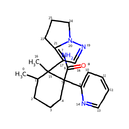 CC1CCCC(C(N)=O)(c2ccccn2)C1(C)c1cnn2c1CCC2